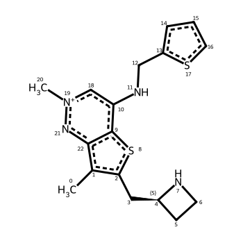 Cc1c(C[C@@H]2CCN2)sc2c(NCc3cccs3)c[n+](C)nc12